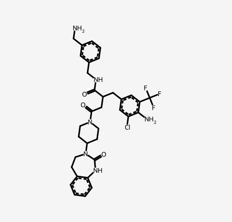 NCc1cccc(CNC(=O)C(CC(=O)N2CCC(N3CCc4ccccc4NC3=O)CC2)Cc2cc(Cl)c(N)c(C(F)(F)F)c2)c1